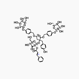 O=C(/C=C/c1ccccc1)O[C@H]1[C@H](OC(CC(=O)OCc2ccc(O[C@@H]3O[C@H](CO)[C@@H](O)[C@H](O)[C@H]3O)cc2)(Cc2ccc(O)cc2)C(=O)OCc2ccc(O[C@@H]3O[C@H](CO)[C@@H](O)[C@H](O)[C@H]3O)cc2)O[C@H](CO)[C@@H](O)[C@@H]1O